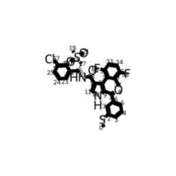 CSc1cccc(C(=O)c2[nH]cc(C(=O)N[C@@H](CS(C)(=O)=O)c3cccc(Cl)c3)c2-c2c(F)ccc(F)c2C)c1